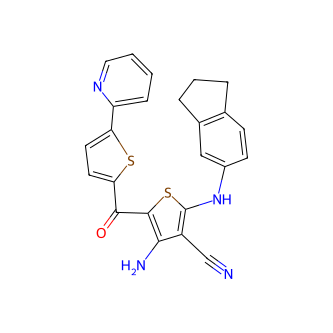 N#Cc1c(Nc2ccc3c(c2)CCC3)sc(C(=O)c2ccc(-c3ccccn3)s2)c1N